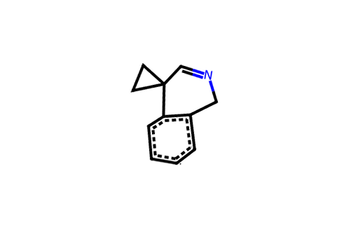 [c]1ccc2c(c1)CN=CC21CC1